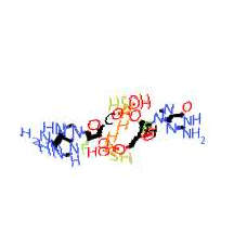 NC1=C2NCN(c3oc4c(c3F)O[PH](O)(S)O/C=C3/OC(n5cnc6c(=O)[nH]c(N)nc65)=C(O[PH](O)(S)OC4)[C@@H]3F)C2NCN1